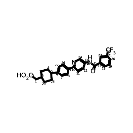 O=C(O)CC1CCC(c2ccc(-c3ccc(NC(=O)c4cccc(C(F)(F)F)c4)cn3)cc2)CC1